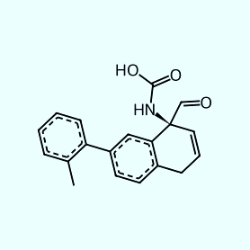 Cc1ccccc1-c1ccc2c(c1)[C@@](C=O)(NC(=O)O)C=CC2